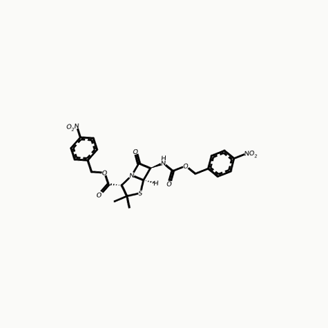 CC1(C)S[C@@H]2[C@H](NC(=O)OCc3ccc([N+](=O)[O-])cc3)C(=O)N2[C@H]1C(=O)OCc1ccc([N+](=O)[O-])cc1